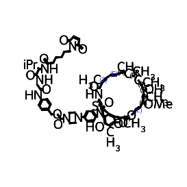 CO[C@H]1/C=C/O[C@@]2(C)Oc3c(C)c(O)c4c(=O)c(c5sc6cc(N7CCN(C(=O)OCc8ccc(NC(=O)CNC(=O)C(NC(=O)CCCCCN9C(=O)C=CC9=O)C(C)C)cc8)CC7)ccc6nc-5c4c3C2=O)NC(=O)/C(C)=C\C=C\[C@H](C)C[C@@H](C)C[C@@H](C)[C@H](O)[C@@H]1C